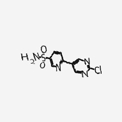 NS(=O)(=O)c1ccc(-c2cnc(Cl)nc2)nc1